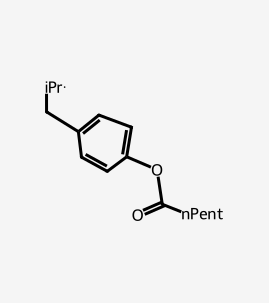 CCCCCC(=O)Oc1ccc(C[C](C)C)cc1